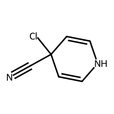 N#CC1(Cl)C=CNC=C1